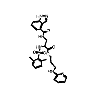 Cc1cccc(C)c1S(=O)(=O)NC(CNC(=O)c1cccc2[nH]ncc12)C(=O)OCCCNc1ccccn1